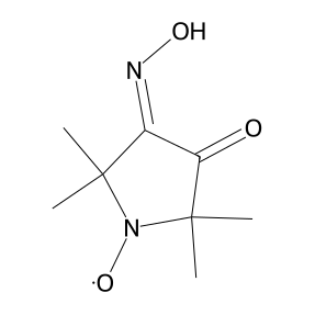 CC1(C)C(=O)C(=NO)C(C)(C)N1[O]